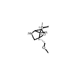 COC[C@@]12CNC([C@H](C)O1)[C@@H]2OC